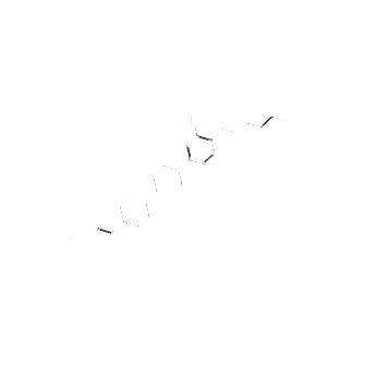 CC=C[C@H]1CC[C@H]([C@H]2CC[C@H](c3ccc(COCC=CCC)c(F)c3)CC2)CC1